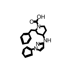 O=C(O)N1CCC(Nc2ccn(-c3ccccc3)n2)CC1Cc1ccccc1